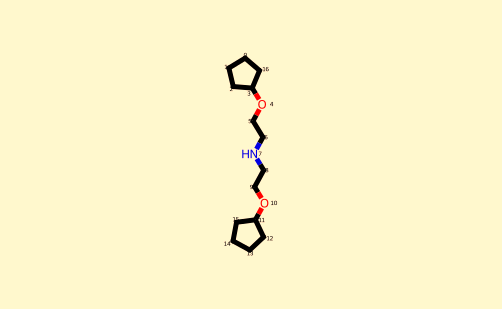 C1CCC(OCCNCCOC2CCCC2)C1